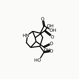 O=C(O)C1CC(C(=O)O)C2NCC1C(C(=O)O)C2C(=O)O